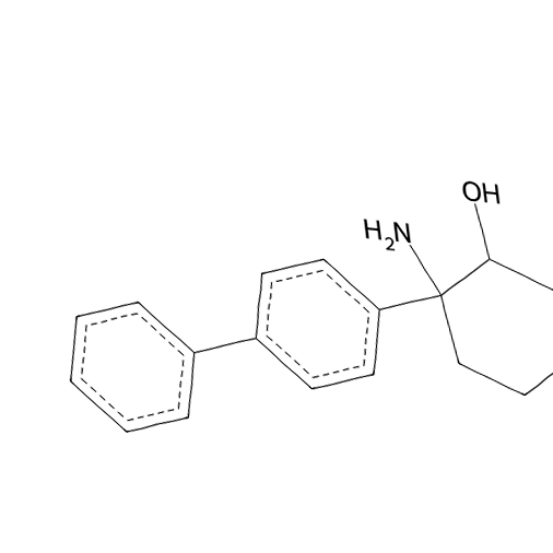 NC1(c2ccc(-c3ccccc3)cc2)CCCCC1O